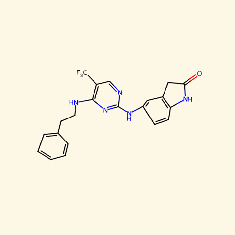 O=C1Cc2cc(Nc3ncc(C(F)(F)F)c(NCCc4ccccc4)n3)ccc2N1